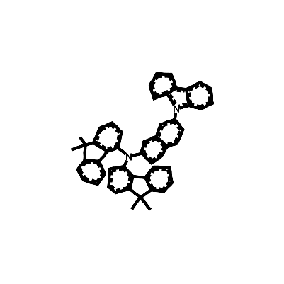 CC1(C)c2ccccc2-c2c(N(c3ccc4ccc(-n5c6ccccc6c6ccccc65)cc4c3)c3cccc4c3-c3ccccc3C4(C)C)cccc21